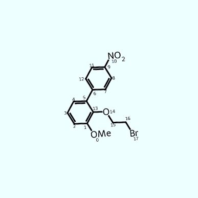 COc1cccc(-c2ccc([N+](=O)[O-])cc2)c1OCCBr